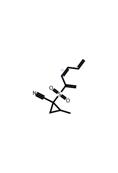 C=C/C=C\C(=C)S(=O)(=O)C1(C#N)CC1C